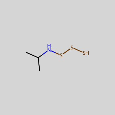 CC(C)NSSS